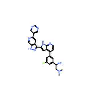 CN(C)CC(N)c1cc(F)cc(-c2ccnc3[nH]c(-c4n[nH]c5cnc(-c6cncnc6)cc45)cc23)c1